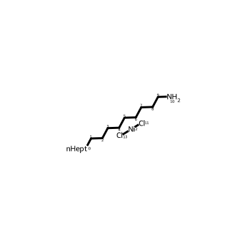 CCCCCCCCCCCCCCCCN.[Cl][Ni][Cl]